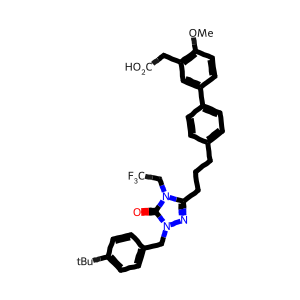 COc1ccc(-c2ccc(CCCc3nn(Cc4ccc(C(C)(C)C)cc4)c(=O)n3CC(F)(F)F)cc2)cc1CC(=O)O